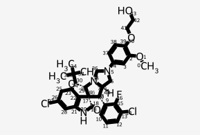 COc1cc(N2C[C@H]3[C@H](c4cccc(Cl)c4F)[C@]4(C(=O)NC5=C4C(=O)CC(Cl)=C5)[C@H](CC(C)(C)C)N3C2)ccc1OCCO